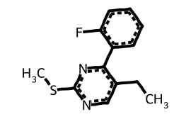 CCc1cnc(SC)nc1-c1ccccc1F